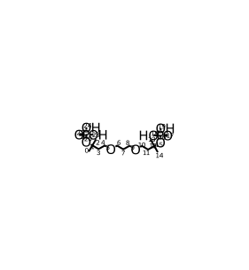 CC(C)(CCOCCCOCCC(C)(C)OP(=O)(O)O)OP(=O)(O)O